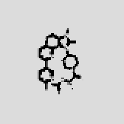 CC(=O)O[C@@H](C)C(=O)N1CCC(n2c(=O)n(C)c3cnc4ccc(-c5ccc(C)nc5)nc4c32)CC1